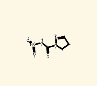 O=C(N[SH](=O)=O)N1CCC=N1